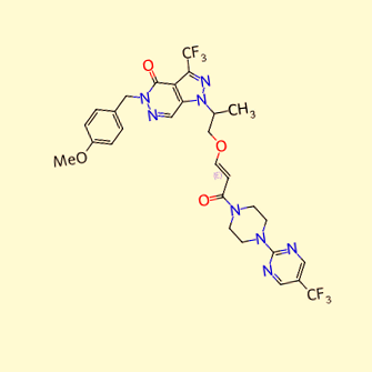 COc1ccc(Cn2ncc3c(c(C(F)(F)F)nn3C(C)CO/C=C/C(=O)N3CCN(c4ncc(C(F)(F)F)cn4)CC3)c2=O)cc1